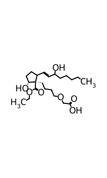 CCCCCC(O)C=CC1CC[C@@H](O)[C@]1(CCCCOCC(=O)O)C(=O)OCC